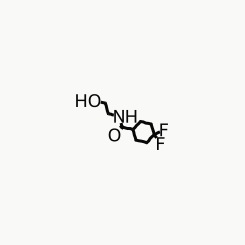 O=C(NCCO)C1CCC(F)(F)CC1